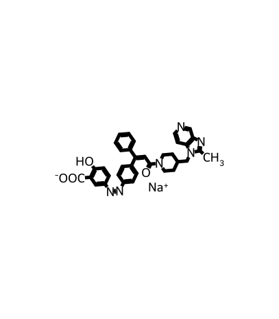 Cc1nc2cnccc2n1CC1CCN(C(=O)C=C(c2ccccc2)c2ccc(/N=N\c3ccc(O)c(C(=O)[O-])c3)cc2)CC1.[Na+]